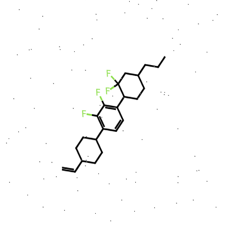 C=CC1CCC(c2ccc(C3CCC(CCC)CC3(F)F)c(F)c2F)CC1